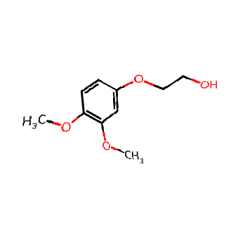 COc1ccc(OCCO)cc1OC